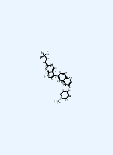 CN1CCC(Oc2cnc3ccc(-c4c[nH]c5nc(CCC(F)(F)F)ncc45)cc3n2)CC1